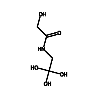 O=C(CO)NCC(O)(O)O